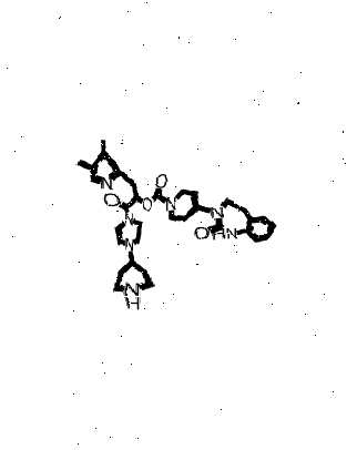 Cc1cnc(CC(OC(=O)N2CCC(N3CCc4ccccc4NC3=O)CC2)C(=O)N2CCN(C3CCNCC3)CC2)cc1C